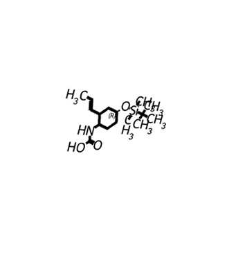 CC=CC1C[C@H](O[Si](C)(C)C(C)(C)C)CCC1NC(=O)O